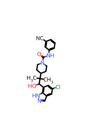 CC(C)(C1CCN(C(=O)Nc2cccc(C#N)c2)CC1)C(O)c1cc(Cl)cc2cn[nH]c12